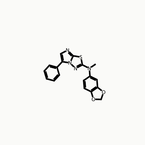 CN(c1ccc2c(c1)OCO2)c1nn2c(-c3ccccc3)cnc2s1